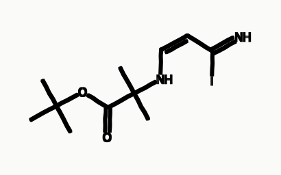 CC(C)(C)OC(=O)C(C)(C)N/C=C\C(=N)I